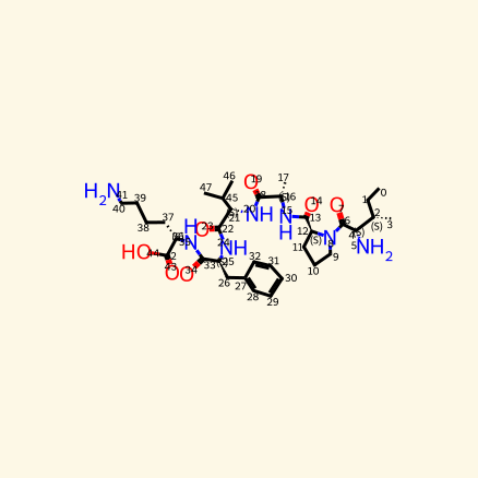 CC[C@H](C)[C@H](N)C(=O)N1CCC[C@H]1C(=O)N[C@@H](C)C(=O)N[C@H](C(=O)N[C@@H](Cc1ccccc1)C(=O)N[C@@H](CCCCN)C(=O)O)C(C)C